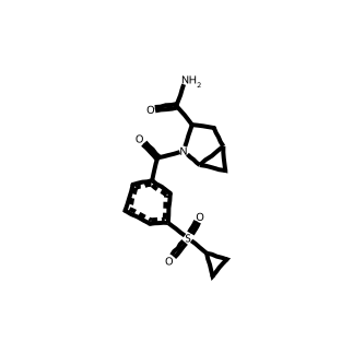 NC(=O)C1CC2CC2N1C(=O)c1cccc(S(=O)(=O)C2CC2)c1